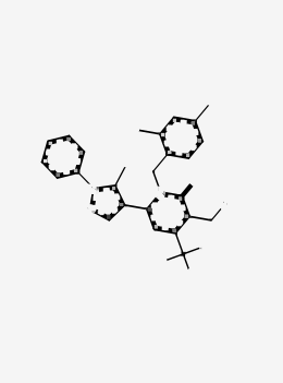 Cc1ccc(Cn2c(-c3cnn(-c4ccccc4)c3C)cc(C(F)(F)F)c(CN)c2=O)c(C)c1